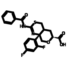 O=C(NC1=N[C@@]2(c3ccc(F)cc3F)CO[C@@H](C(=O)O)CC2CS1)c1ccccc1